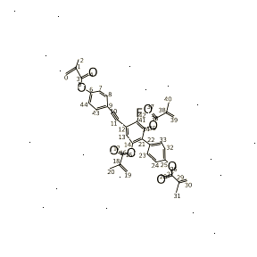 C=C(C)C(=O)Oc1ccc(C#Cc2cc(OC(=O)C(=C)C)c(-c3ccc(OC(=O)C(=C)C)cc3)c(OC(=O)C(=C)C)c2F)cc1